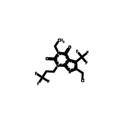 CCn1c(=O)c2c(C(F)(F)F)c(CCl)sc2n(CCC(F)(F)F)c1=O